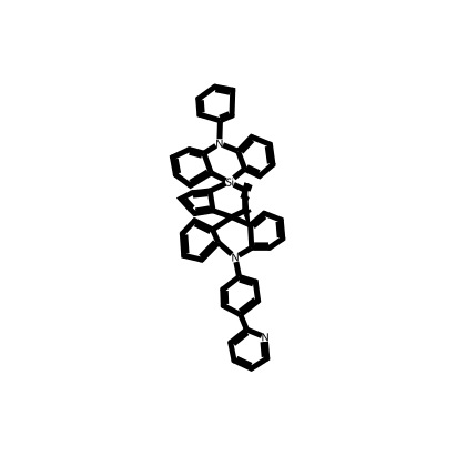 c1ccc(N2c3ccccc3[Si]3(c4ccccc42)c2ccccc2C2(c4ccccc4N(c4ccc(-c5ccccn5)cc4)c4ccccc42)c2ccccc23)cc1